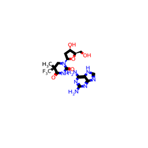 CC1(C(F)(F)F)CN([C@H]2C[C@H](O)[C@@H](CO)O2)C(=O)NC1=O.Nc1nc(N)c2[nH]cnc2n1